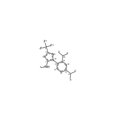 CNc1nc(C(F)(F)F)nn1-c1ccc(C(C)C)cc1C(C)C